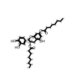 CCCCCCCC(=O)Oc1cc(O)c2c(c1)O[C@@H](c1ccc(O)c(O)c1)[C@H](OC(=O)CCCCCCC)C2